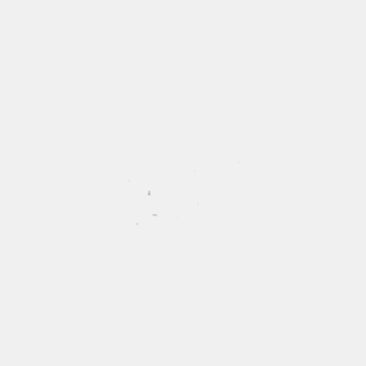 Cc1cc(O[CH]C=O)ccc1Cl